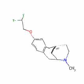 CN1CC[C@@]23CCCCC2C1Cc1ccc(OCC(F)F)cc13